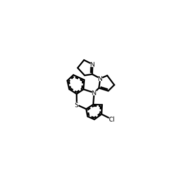 Clc1ccc2c(c1)N(C1=CCCN1C1=NCCC1)c1ccccc1S2